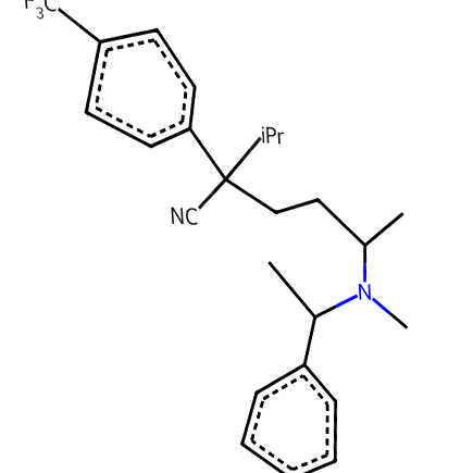 CC(CCC(C#N)(c1ccc(C(F)(F)F)cc1)C(C)C)N(C)C(C)c1ccccc1